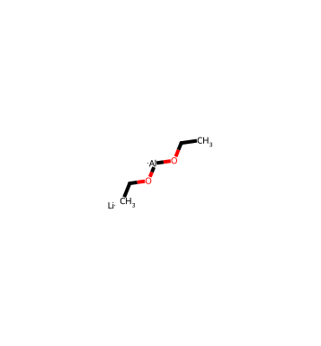 CC[O][Al][O]CC.[Li]